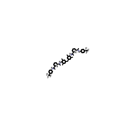 C/C(=N\c1ccc(C(F)(F)F)cc1)c1cccc(/C(C)=N/c2c(C)cc(Cc3cc(C)c(/N=C(\C)c4cccc(/C(C)=N/c5ccc(C(F)(F)F)cc5)n4)c(C)c3)cc2C)n1